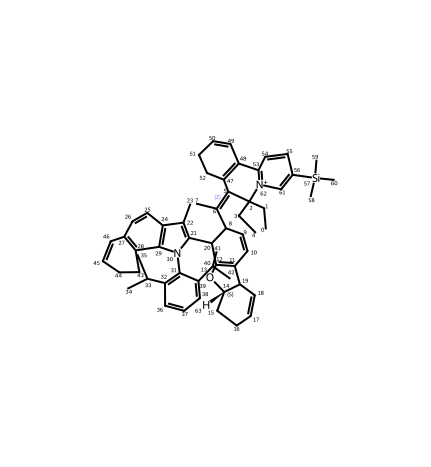 CCC1(CC)/C(=C(/C)C2C=CC3=C(O[C@H]4CCC=CC34)C2c2c(C)c3ccc4c(c3n2-c2c(C(C)C)cccc2C(C)C)CCC=C4)C2=C(C=CCC2)c2ccc([Si](C)(C)C)c[n+]21